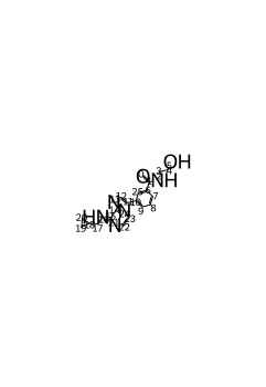 O=C(NCCO)c1cccc(-c2cnc3c(NCC4CC4)nccn23)c1